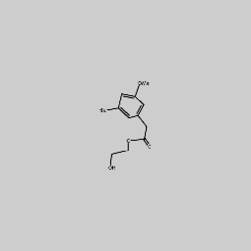 COc1cc(CC(=O)OCCO)cc(C(C)(C)C)c1